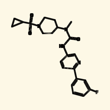 CN(C(=O)Nc1ccc(-c2cccc(F)c2)nc1)C1CCN(S(=O)(=O)C2CC2)CC1